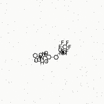 COc1ccccc1S(=O)(=O)Nc1noc2cc(-c3cccc(CNS(=O)(=O)c4c(F)c(F)c(F)c(F)c4F)c3)cc(OC)c12